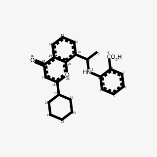 CC(Nc1ccccc1C(=O)O)c1cccc2c(=O)cc(C3CCCCC3)oc12